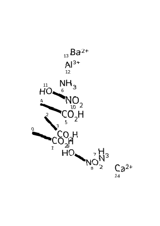 CC(=O)O.CC(=O)O.CC(=O)O.N.N.O=[N+]([O-])O.O=[N+]([O-])O.[Al+3].[Ba+2].[Ca+2]